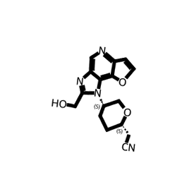 N#CC[C@@H]1CC[C@H](n2c(CO)nc3cnc4ccoc4c32)CO1